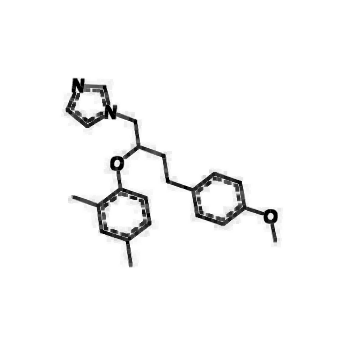 COc1ccc(CCC(Cn2ccnc2)Oc2ccc(C)cc2C)cc1